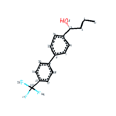 CCC[C@@H](O)c1ccc(-c2ccc(C(F)(F)F)cc2)cc1